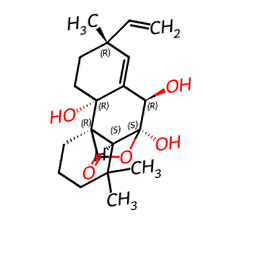 C=C[C@]1(C)C=C2[C@@H](O)[C@@]3(O)OC(=O)[C@@]4(CCCC(C)(C)[C@H]34)[C@@]2(O)CC1